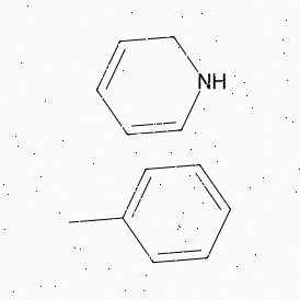 C1=CCNC=C1.Cc1ccccc1